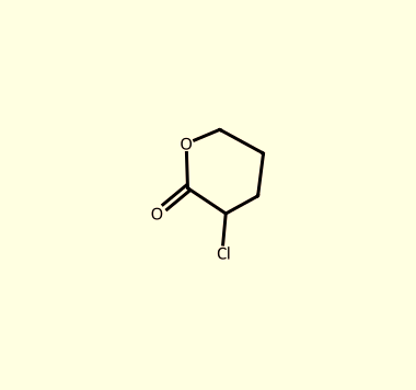 O=C1OCCCC1Cl